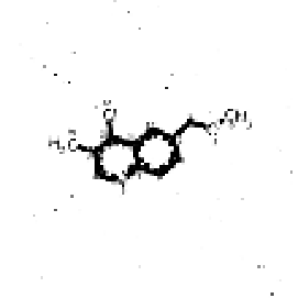 COCc1ccc2ncc(C)c(Cl)c2c1